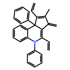 C=CC1=C2C(=C)C(C)=C(C=C)C2(c2ccccc2)c2ccccc2N1c1ccccc1